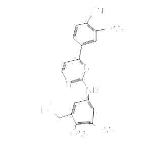 COc1cc(-c2ccnc(Nc3cc(CO)c(OC)c(OC)c3)n2)ccc1C#N